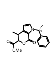 COC(=O)C1OC(=O)c2c(ccn2[C@H](C)c2ccccc2)C1C